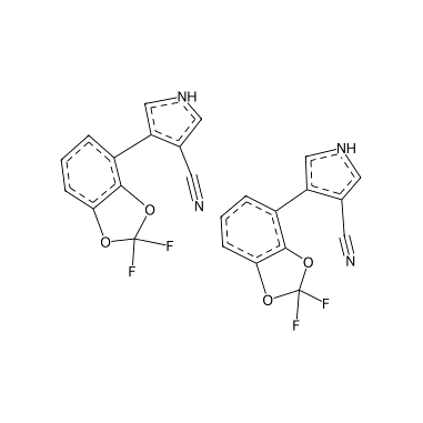 N#Cc1c[nH]cc1-c1cccc2c1OC(F)(F)O2.N#Cc1c[nH]cc1-c1cccc2c1OC(F)(F)O2